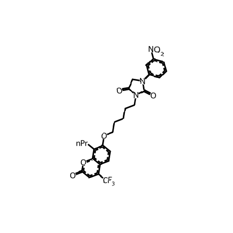 CCCc1c(OCCCCCN2C(=O)CN(c3cccc([N+](=O)[O-])c3)C2=O)ccc2c(C(F)(F)F)cc(=O)oc12